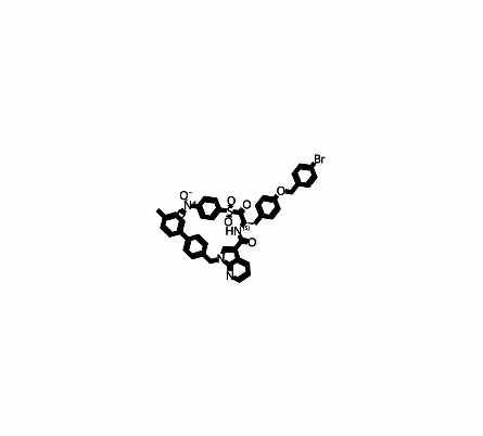 Cc1ccc(-c2ccc(Cn3cc(C(=O)N[C@@H](Cc4ccc(OCc5ccc(Br)cc5)cc4)C(=O)S(=O)(=O)c4ccc([N+](=O)[O-])cc4)c4cccnc43)cc2)cc1